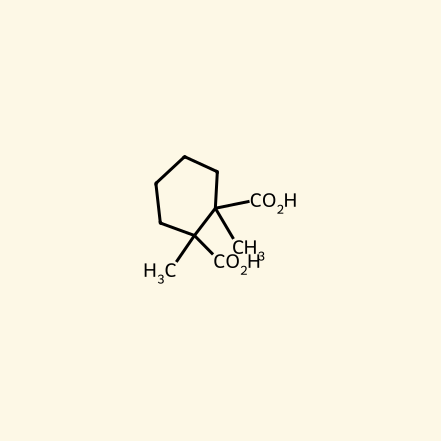 CC1(C(=O)O)CCCCC1(C)C(=O)O